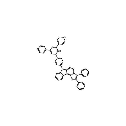 C1=CC(C2=CC(c3ccncc3)=CC(c3ccc(-n4c5ccccc5c5c6sc(-c7ccccc7)c(-c7ccccc7)c6ccc54)cc3)N2)=CCN1